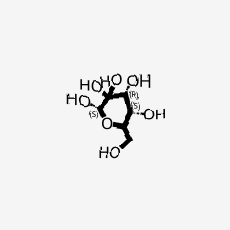 OCC1O[C@H](O)C(O)(O)[C@H](O)[C@@H]1O